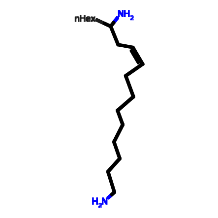 CCCCCCC(N)C/C=C\CCCCCCCCN